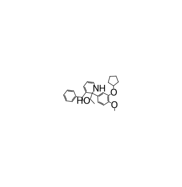 COc1ccc(C2(C(C)O)NC=CC=C2C(C)c2ccccc2)cc1OC1CCCC1